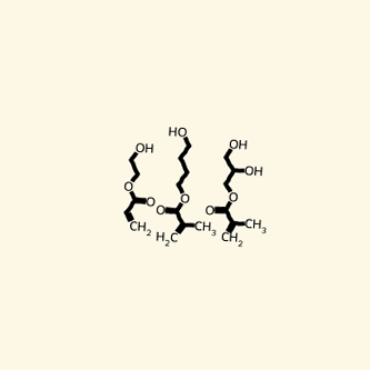 C=C(C)C(=O)OCC(O)CO.C=C(C)C(=O)OCCCCO.C=CC(=O)OCCO